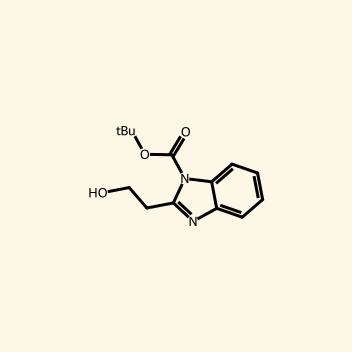 CC(C)(C)OC(=O)n1c(CCO)nc2ccccc21